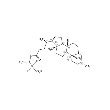 CC(=O)O[C@@H]1CC[C@@]2(C)C(CC[C@H]3[C@@H]4CC[C@H]([C@H](C)CCC(=O)OC(C(F)(F)F)C(F)(F)S(=O)(=O)O)[C@@]4(C)CC[C@@H]32)C1